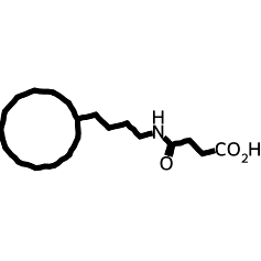 O=C(O)CCC(=O)NCCCCC1CCCCCCCCCCCC1